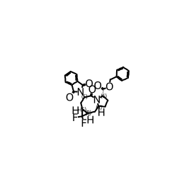 O=C(OCc1ccccc1)[C@@H]1CC[C@@H]2C[C@@H]3[C@H](C[C@H](N4C(=O)c5ccccc5C4=O)C(=O)N21)C3(F)F